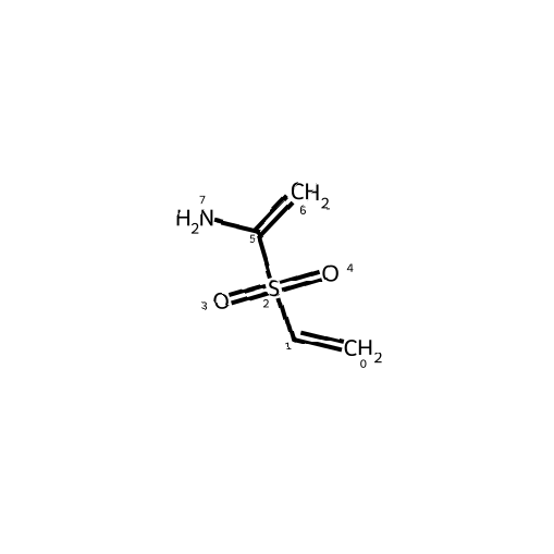 C=CS(=O)(=O)C(=C)N